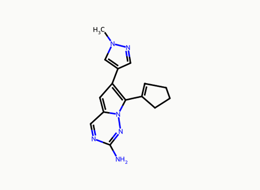 Cn1cc(-c2cc3cnc(N)nn3c2C2=CCCC2)cn1